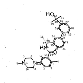 Cc1ccc(N2CCN(C)CC2)cc1C(=O)N[C@H](C)c1cccc(-c2cccc(C(C)(C)O)c2)c1